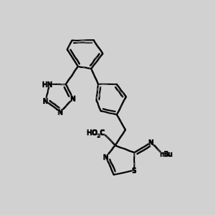 CCCCN=C1SC=NC1(Cc1ccc(-c2ccccc2-c2nnn[nH]2)cc1)C(=O)O